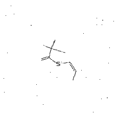 C=C(S/C=C\C)C(C)(C)C